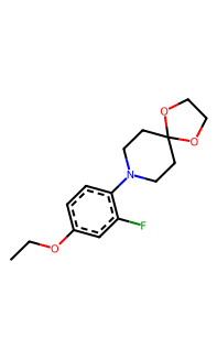 CCOc1ccc(N2CCC3(CC2)OCCO3)c(F)c1